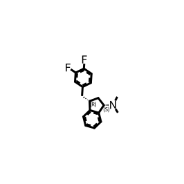 CN(C)[C@H]1C[C@@H](Cc2ccc(F)c(F)c2)c2ccccc21